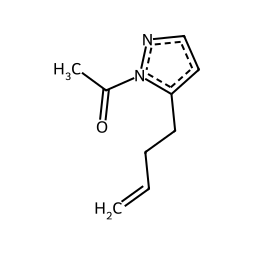 C=CCCc1ccnn1C(C)=O